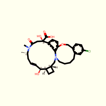 C[C@H]1C/C=C/[C@H](O)[C@@H]2CC[C@H]2CN2CCCCc3cc(Cl)ccc3COc3ccc(cc32)[C@@](O)(C(=O)O)CC(=O)N1C